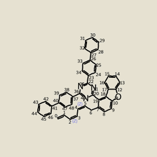 C=C/C=C\C=C/Cc1ccc2oc3ccccc3c2c1-c1nc(-c2ccc(-c3ccccc3)cc2)nc(-c2ccc(-c3ccccc3)cc2)n1